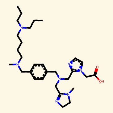 CCCN(CCC)CCCCN(C)Cc1ccc(CN(CC2=NCCN2C)Cc2nccn2CC(=O)O)cc1